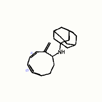 C=C1/C=C\C=C/CCCC1NC12CC3CC(CC(C3)C1)C2